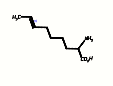 C/C=C/CCCCC(N)C(=O)O